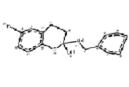 OC1(NCc2ccccc2)CCc2cc(F)ccc2O1